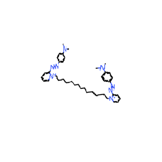 CN(C)c1ccc(/N=N/c2cccc[n+]2CCCCCCCCCCCCCC[n+]2ccccc2/N=N/c2ccc(N(C)C)cc2)cc1